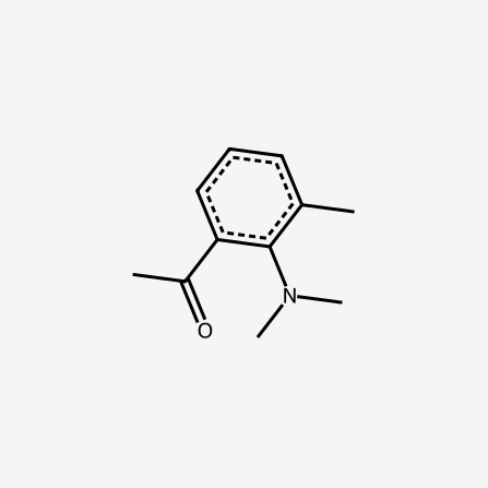 CC(=O)c1cccc(C)c1N(C)C